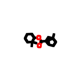 CC12CCC(C1)C(C(=O)OC1CCCCC1(C)C)C2